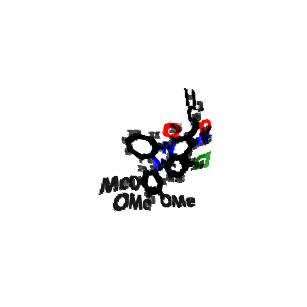 COc1cc(N(C(C)=O)C2CCCCC[C@H]2n2c(=O)c3c(C)onc3c3c(Cl)cccc32)cc(OC)c1OC